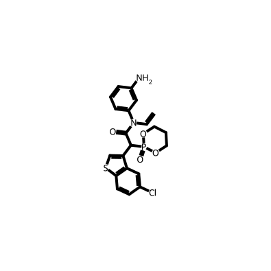 C=CN(C(=O)C(c1csc2ccc(Cl)cc12)P1(=O)OCCCO1)c1cccc(N)c1